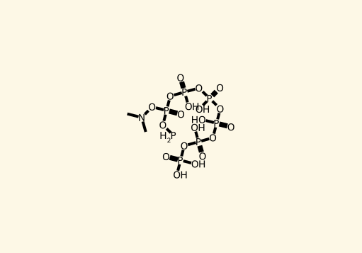 CN(C)OP(=O)(OP)OP(=O)(O)OP(=O)(O)OP(=O)(O)OP(=O)(O)OP(=O)(O)O